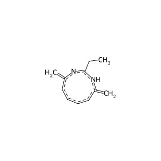 C=c1ccccc(=C)[nH]c(CC)n1